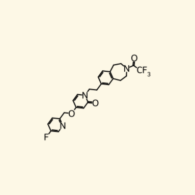 O=C(N1CCc2ccc(CCn3ccc(OCc4ccc(F)cn4)cc3=O)cc2CC1)C(F)(F)F